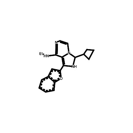 CCNC1=NC=CN2C1=C(c1cc3ccccc3o1)NC2C1CCC1